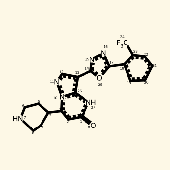 O=c1cc(C2CCNCC2)n2ncc(-c3nnc(-c4ccccc4C(F)(F)F)o3)c2[nH]1